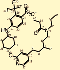 CCCN(CCC(C)CCc1ccnc(O[C@H]2CC[C@H](Nc3ccc([N+](=O)[O-])c(C(F)(F)F)c3)CC2)c1)C(=O)CC